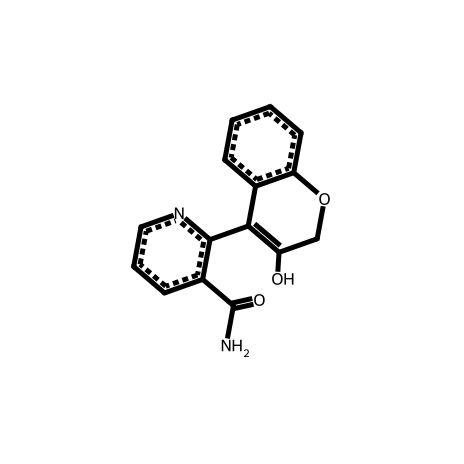 NC(=O)c1cccnc1C1=C(O)COc2ccccc21